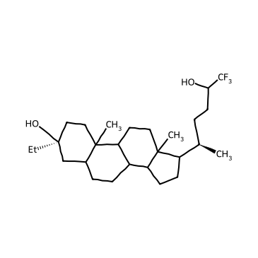 CC[C@]1(O)CCC2(C)C(CCC3C2CCC2(C)C3CCC2[C@H](C)CCC(O)C(F)(F)F)C1